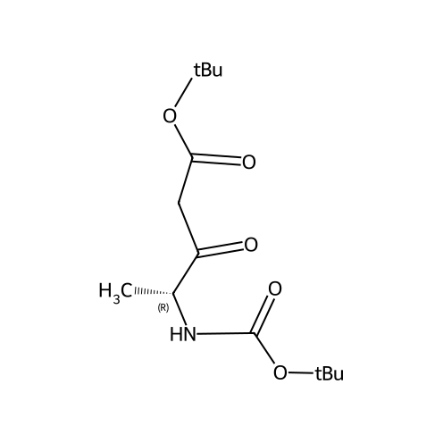 C[C@@H](NC(=O)OC(C)(C)C)C(=O)CC(=O)OC(C)(C)C